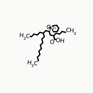 CCCCCCCCCCC(CCCCC)CC(CC(CCCCC)C(=O)O)[N+]1([O-])CCCCC1